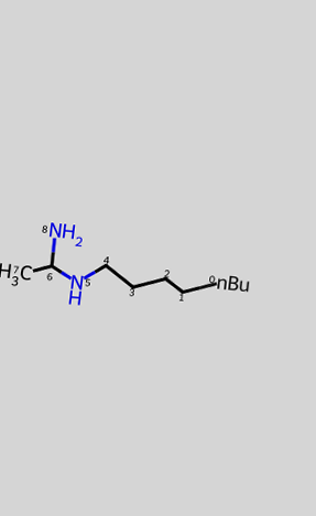 CCCCCCCCNC(C)N